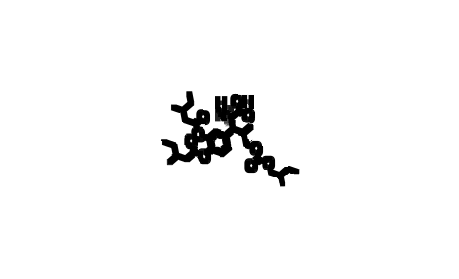 CCC(C)COC(=O)OCC(C)C(c1ccc(OC(=O)CC(C)CC)c(OC(=O)CC(C)CC)c1)[C@H](N)C(=O)O